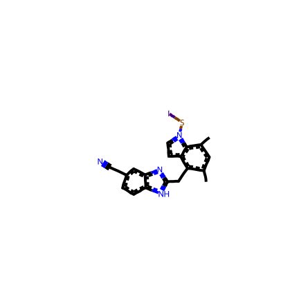 Cc1cc(C)c2c(ccn2SI)c1Cc1nc2cc(C#N)ccc2[nH]1